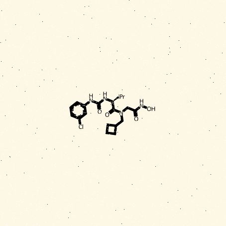 CC(C)[C@H](NC(=O)Nc1cccc(Cl)c1)C(=O)N(CC(=O)NO)CC1CCC1